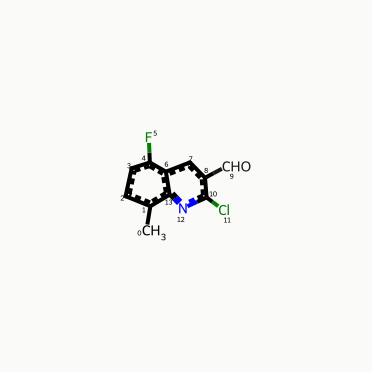 Cc1ccc(F)c2cc(C=O)c(Cl)nc12